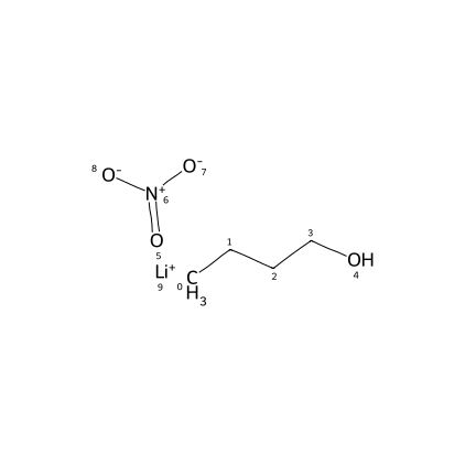 CCCCO.O=[N+]([O-])[O-].[Li+]